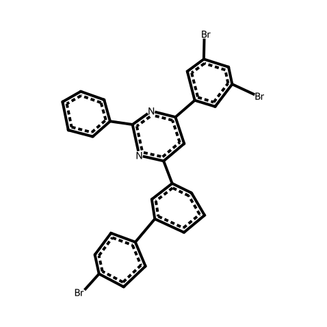 Brc1ccc(-c2cccc(-c3cc(-c4cc(Br)cc(Br)c4)nc(-c4ccccc4)n3)c2)cc1